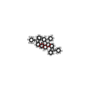 c1ccc(-c2ccccc2-c2c(-c3ccccc3)cccc2N(c2cccc(-c3cccc4c3c3ccccc3n4-c3ccccc3)c2)c2cccc3c2c2ccccc2n3-c2ccccc2)cc1